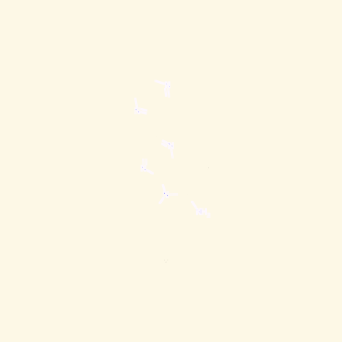 COc1ccc(C)c(-n2c(N)c(C(C)=O)c3nc(-c4cnccn4)cnc32)c1C